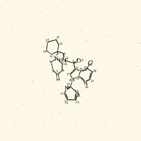 O=C(NCC1(N2CCNCC2)CCCCC1)c1cn(-c2ncccn2)c2nccc(Cl)c12